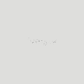 CC(C)c1ccccc1N1CS/C1=N\c1ccc2cc(C3=NC(c4ccc(OC(C)(F)F)cc4)C=N3)ccc2n1